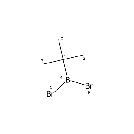 CC(C)(C)B(Br)Br